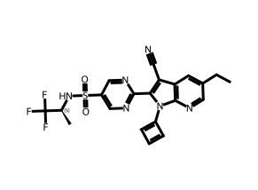 CCc1cnc2c(c1)c(C#N)c(-c1ncc(S(=O)(=O)N[C@@H](C)C(F)(F)F)cn1)n2C1=CC=C1